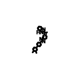 Cc1ccc(-c2ccc(-c3nc4ccn(C(C)c5nc6ccccc6[nH]5)cc-4n3)cc2)cc1C